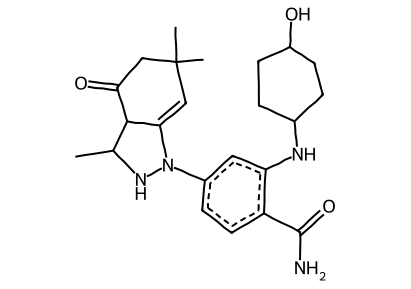 CC1NN(c2ccc(C(N)=O)c(NC3CCC(O)CC3)c2)C2=CC(C)(C)CC(=O)C21